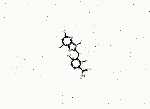 Cc1cc(Cl)nc2c1nc(Cc1c(Cl)ccc(C(=O)O)c1Cl)n2C